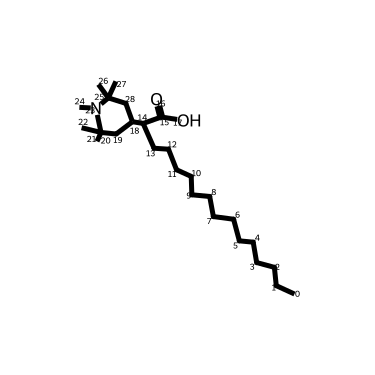 CCCCCCCCCCCCCCC(C(=O)O)C1CC(C)(C)N(C)C(C)(C)C1